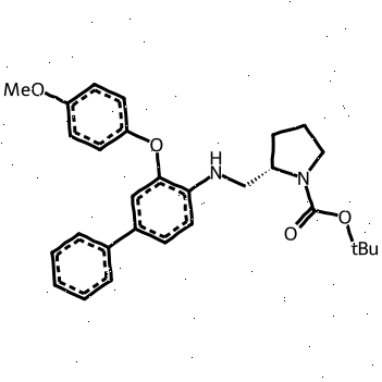 COc1ccc(Oc2cc(-c3ccccc3)ccc2NC[C@@H]2CCCN2C(=O)OC(C)(C)C)cc1